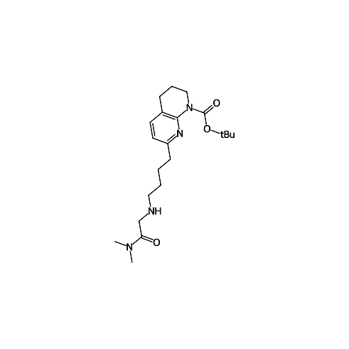 CN(C)C(=O)CNCCCCc1ccc2c(n1)N(C(=O)OC(C)(C)C)CCC2